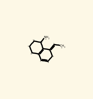 CC=C1CC=CC2=C1C(N)CCC2